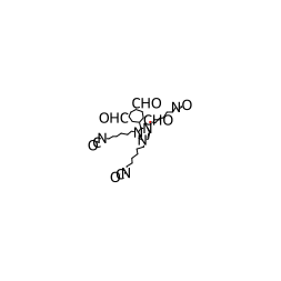 O=C=NCCCCCCN1C=CN(CCCCCCN=C=O)C(C2CC(C=O)CC(C=O)CC2C=O)N(CCCCCCN=C=O)C1